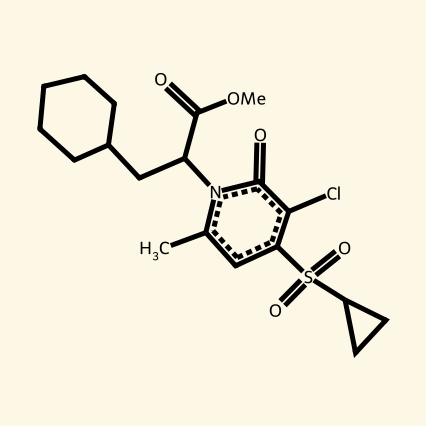 COC(=O)C(CC1CCCCC1)n1c(C)cc(S(=O)(=O)C2CC2)c(Cl)c1=O